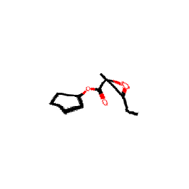 CCC1OC1(C)C(=O)OC1CCCC1